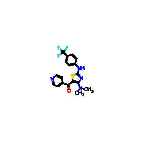 CN(C)c1nc(Nc2ccc(C(F)(F)F)cc2)sc1C(=O)c1ccncc1